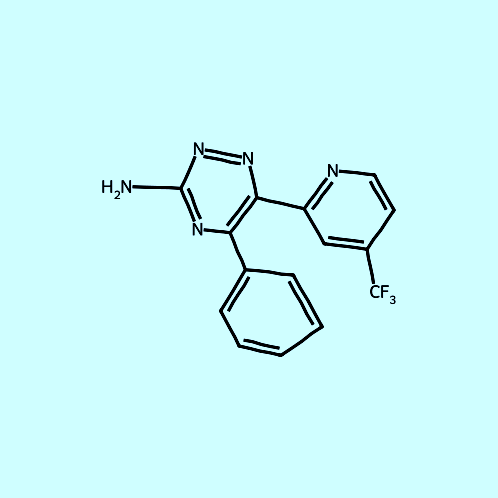 Nc1nnc(-c2cc(C(F)(F)F)ccn2)c(-c2ccccc2)n1